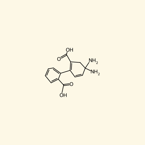 NC1(N)C=CC(c2ccccc2C(=O)O)=C(C(=O)O)C1